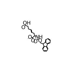 COC(=O)C(C/C=C/CCC(=O)O)NC(=O)OCC1c2ccccc2-c2ccccc21